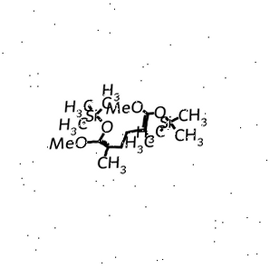 COC(O[Si](C)(C)C)=C(C)CCC(C)=C(OC)O[Si](C)(C)C